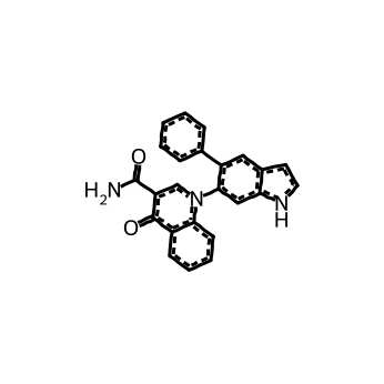 NC(=O)c1cn(-c2cc3[nH]ccc3cc2-c2ccccc2)c2ccccc2c1=O